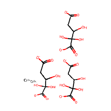 O=C([O-])CC(O)C(O)(O)C(=O)[O-].O=C([O-])CC(O)C(O)(O)C(=O)[O-].O=C([O-])CC(O)C(O)(O)C(=O)[O-].[Cr+3].[Cr+3]